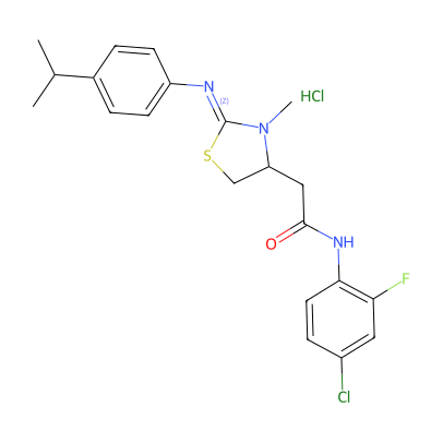 CC(C)c1ccc(/N=C2\SCC(CC(=O)Nc3ccc(Cl)cc3F)N2C)cc1.Cl